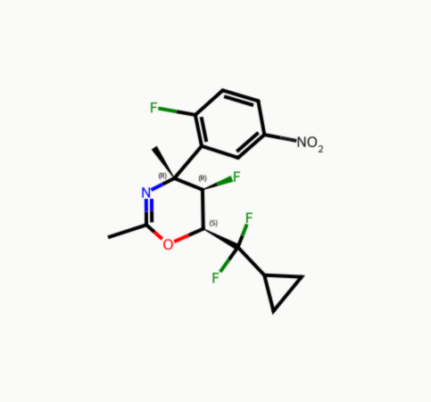 CC1=N[C@](C)(c2cc([N+](=O)[O-])ccc2F)[C@@H](F)[C@@H](C(F)(F)C2CC2)O1